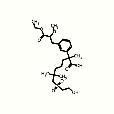 CCOC(=O)C(Cc1cccc(C(C)(CCCC(C)(C)CS(=O)(=O)CCO)C(=O)O)c1)OC